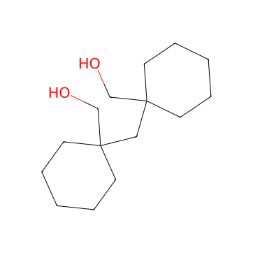 OCC1(CC2(CO)CCCCC2)CCCCC1